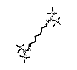 C[Si](C)(C)N(N=CCCCCC=NN([Si](C)(C)C)[Si](C)(C)C)[Si](C)(C)C